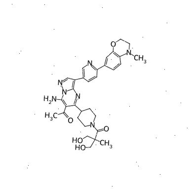 CC(=O)c1c(C2CCN(C(=O)C(C)(CO)CO)CC2)nc2c(-c3ccc(-c4ccc5c(c4)OCCN5C)nc3)cnn2c1N